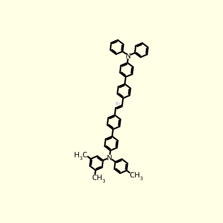 Cc1ccc(N(c2ccc(-c3ccc(/C=C/c4ccc(-c5ccc(N(c6ccccc6)c6ccccc6)cc5)cc4)cc3)cc2)c2cc(C)cc(C)c2)cc1